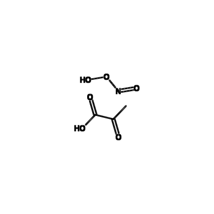 CC(=O)C(=O)O.O=NOO